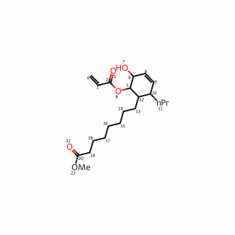 C=CC(=O)OC1C(O)C=CC(CCC)C1CCCCCCCC(=O)OC